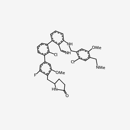 CNCc1cc(Cl)c(CNc2cccc(-c3cccc(-c4cc(F)c(CC5CCC(=O)N5)c(OC)c4)c3Cl)c2C=N)cc1OC